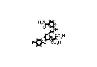 CN(CCN1CCC(Oc2ccc(F)cc2)CC1)c1nccc(C(N)=O)n1.O=C(O)C=CC(=O)O